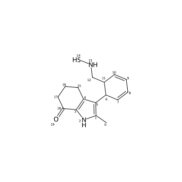 Cc1[nH]c2c(c1C1C=CC=CC1CNS)CCCC2=O